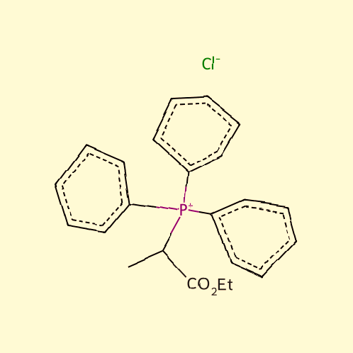 CCOC(=O)C(C)[P+](c1ccccc1)(c1ccccc1)c1ccccc1.[Cl-]